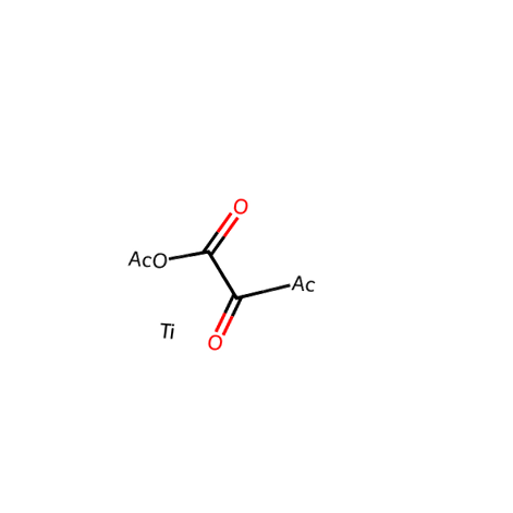 CC(=O)OC(=O)C(=O)C(C)=O.[Ti]